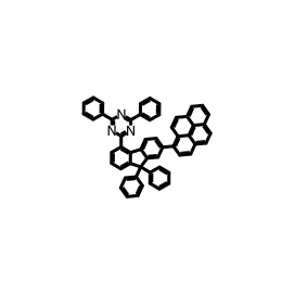 c1ccc(-c2nc(-c3ccccc3)nc(-c3cccc4c3-c3ccc(-c5ccc6ccc7cccc8ccc5c6c78)cc3C4(c3ccccc3)c3ccccc3)n2)cc1